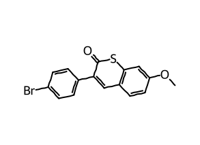 COc1ccc2cc(-c3ccc(Br)cc3)c(=O)sc2c1